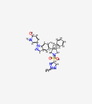 Cc1cc2c(cnn2-c2ccc(=O)n(C)c2)cc1C1(Cc2ccccc2)CCN(S(=O)(=O)c2cnn(C(C)C)n2)C1